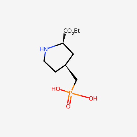 CCOC(=O)[C@H]1C[C@@H](CP(=O)(O)O)CCN1